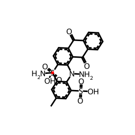 Cc1cc(CN)c(N(N)c2c(S(=O)(=O)O)ccc3c2C(=O)c2ccccc2C3=O)c(S(=O)(=O)O)c1